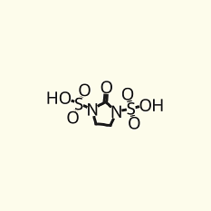 O=C1N(S(=O)(=O)O)CCN1S(=O)(=O)O